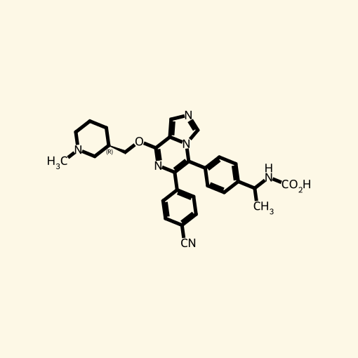 CC(NC(=O)O)c1ccc(-c2c(-c3ccc(C#N)cc3)nc(OC[C@@H]3CCCN(C)C3)c3cncn23)cc1